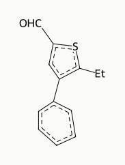 CCc1sc(C=O)cc1-c1ccccc1